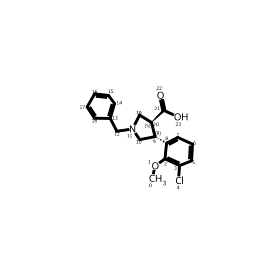 COc1c(Cl)cccc1[C@@H]1CN(Cc2ccccc2)C[C@H]1C(=O)O